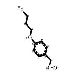 O=[C]Cc1ccc(OCCCF)cc1